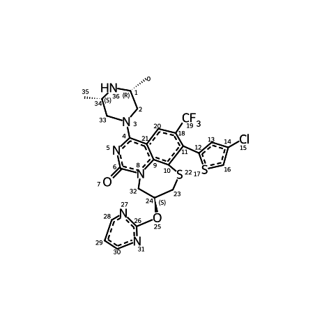 C[C@@H]1CN(c2nc(=O)n3c4c(c(-c5cc(Cl)cs5)c(C(F)(F)F)cc24)SC[C@@H](Oc2ncccn2)C3)C[C@H](C)N1